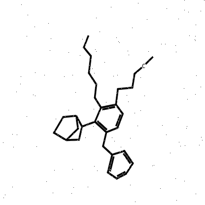 CCCCCCc1c(CCCCC)c[c]c(Cc2ccccc2)c1C1CC2CCC1C2